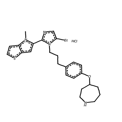 CCc1cnc(-c2cc3sccc3n2C)n1CCCc1ccc(OC2CCCNCC2)cc1.Cl